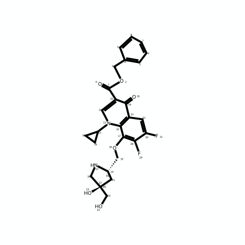 O=C(OCc1ccccc1)c1cn(C2CC2)c2c(OC[C@@H]3C[C@](O)(CO)CN3)c(F)c(F)cc2c1=O